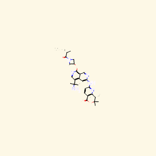 CO[C@H](C)C(=O)N1CC(Oc2ncc(C(C)(C)N)c3cc(Nc4ccc5c(n4)[C@@H](C)C(C)(C)OC5=O)ncc23)C1